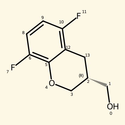 OC[C@@H]1COc2c(F)ccc(F)c2C1